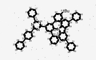 CC(C)(C)c1ccc(-c2cc(-c3nc(-c4ccccc4)nc(-c4ccc(-c5ccccc5)cc4)n3)cc(-c3ccccc3)c2-n2c3ccc(-c4ccccc4)cc3c3cc(-c4ccccc4)ccc32)cc1